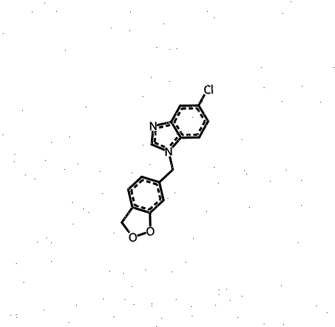 Clc1ccc2c(c1)ncn2Cc1ccc2c(c1)OOC2